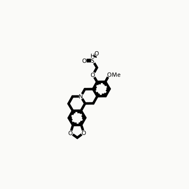 COc1ccc2c(c1OC[SH](=O)=O)CN1CCc3cc4c(cc3C1C2)OCO4